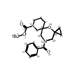 CC(C)(C)OC(=O)N1CCCC2(C1)CN(C(=O)c1ccccc1)CC1(CC1)O2